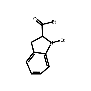 CCC(=O)C1Cc2ccccc2N1CC